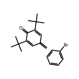 Brc1ccccc1.C=C1C=C(C(C)(C)C)C(=O)C(C(C)(C)C)=C1